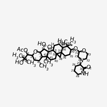 CC(=O)OC(C1C[C@@H](C)C2C(O1)[C@H](O)[C@@]1(C)C3CC[C@H]4C(C)(C)C(OC5CN(C6CCCNC6=O)CCO5)CCC45CC35CCC21C)C(C)(C)O